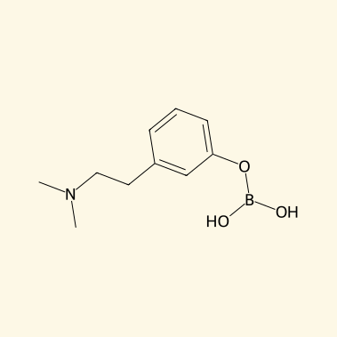 CN(C)CCc1cccc(OB(O)O)c1